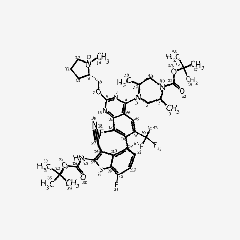 CC1CN(c2nc(OC[C@@H]3CCCN3C)nc3c(F)c(-c4ccc(F)c5sc(NC(=O)OC(C)(C)C)c(C#N)c45)c(C(F)(F)F)cc23)C(C)CN1C(=O)OC(C)(C)C